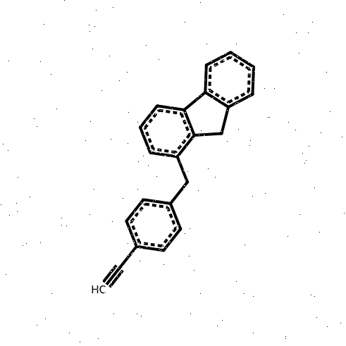 C#Cc1ccc(Cc2cccc3c2Cc2ccccc2-3)cc1